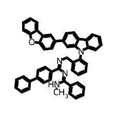 CN/C(=N\C(=N/Cc1ccccc1-n1c2ccccc2c2ccc(-c3ccc4oc5ccccc5c4c3)cc21)c1ccc(-c2ccccc2)cc1)c1ccccc1